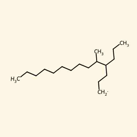 [CH2]CCC(CCC)C(C)CCCCCCCCC